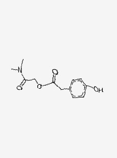 CN(C)C(=O)COC(=O)Cc1ccc(O)cc1